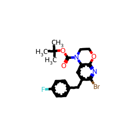 CC(C)(C)OC(=O)N1CCOc2nc(Br)c(Cc3ccc(F)cc3)cc21